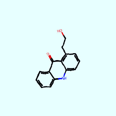 O=c1c2ccccc2[nH]c2cccc(CCO)c12